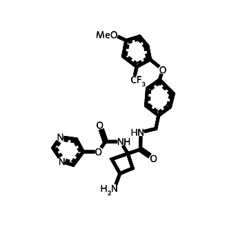 COc1ccc(Oc2ccc(CNC(=O)C3(NC(=O)Oc4cncnc4)CC(N)C3)cc2)c(C(F)(F)F)c1